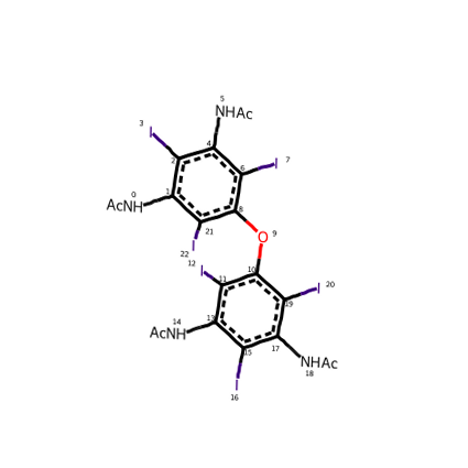 CC(=O)Nc1c(I)c(NC(C)=O)c(I)c(Oc2c(I)c(NC(C)=O)c(I)c(NC(C)=O)c2I)c1I